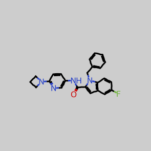 O=C(Nc1ccc(N2CCC2)nc1)c1cc2cc(F)ccc2n1Cc1ccccc1